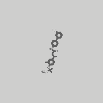 Cc1cc(C(C)CC(=O)Nc2ccc(-c3cccc(C(F)(F)F)c3)cc2)ccc1OC(C)(C)C(=O)O